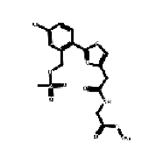 CC(C)(C)OC(=O)CNC(=O)Cc1csc(-c2ccc(Cl)cc2COS(C)(=O)=O)n1